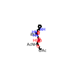 CCC(C)[C@H](NC(=O)Cc1c[nH]c2ccccc12)C(=O)NCCOP(=O)(O)OC[C@@H](COCC[C@@H](C)OC(C)=O)NC(C)=O